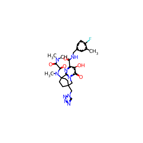 Cc1cc(CNC(=O)c2nc3n(c(=O)c2O)CC2(Cn4cnnn4)CCC3(N(C)C(=O)C(=O)N(C)C)CC2)ccc1F